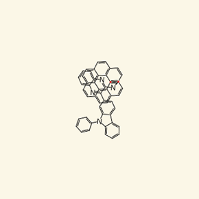 c1ccc(-n2c3ccccc3c3ccc(-c4nc5ccccc5nc4-n4c5ccc6ccc7ccc8ccc9ccc%10ccc4c4c%10c9c8c7c6c45)cc32)cc1